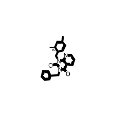 CC1=C[C@H](C)C(Cn2c(=O)n(Cc3ccccc3)c(=O)c3cccnc32)C=C1